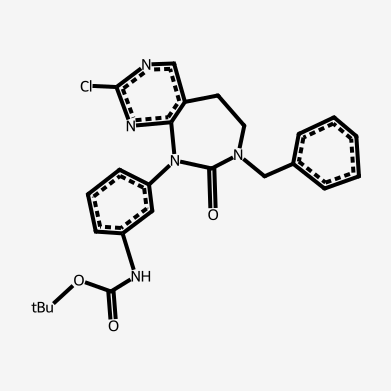 CC(C)(C)OC(=O)Nc1cccc(N2C(=O)N(Cc3ccccc3)CCc3cnc(Cl)nc32)c1